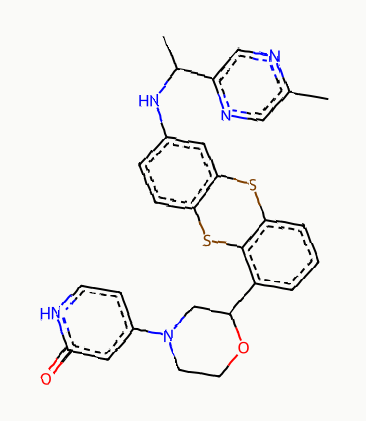 Cc1cnc(C(C)Nc2ccc3c(c2)Sc2cccc(C4CN(c5cc[nH]c(=O)c5)CCO4)c2S3)cn1